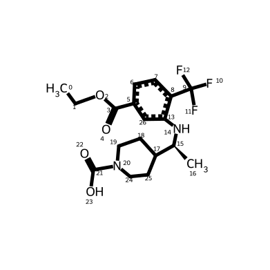 CCOC(=O)c1ccc(C(F)(F)F)c(N[C@@H](C)C2CCN(C(=O)O)CC2)c1